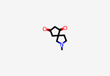 CN1CCC2(CC(=O)CC2=O)C1